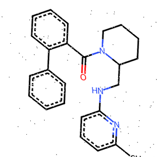 Cc1cccc(NCC2CCCCN2C(=O)c2ccccc2-c2ccccc2)n1